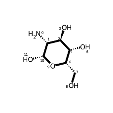 N[C@@H]1[C@@H](O)[C@H](O)[C@H](CO)O[C@@H]1O